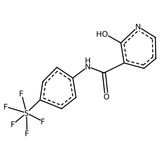 O=C(Nc1ccc(S(F)(F)(F)(F)F)cc1)c1cccnc1O